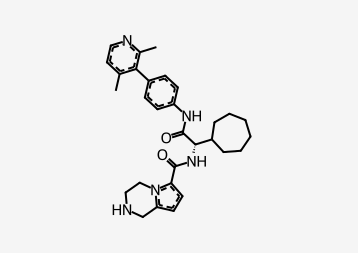 Cc1ccnc(C)c1-c1ccc(NC(=O)[C@@H](NC(=O)c2ccc3n2CCNC3)C2CCCCCC2)cc1